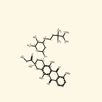 COc1cccc2c1C(=O)c1c(O)c3c(c(O)c1C2=O)C[C@@](O)(C(=O)CO)C[C@@H]3OC1CC(NCCC(C)(C)C(OC(C)=O)OC(C)=O)C(O)C(C)O1